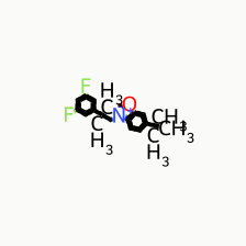 CC(C)(C)c1ccc2c(c1)oc[n+]2CC(C)(C)c1cc(F)cc(F)c1